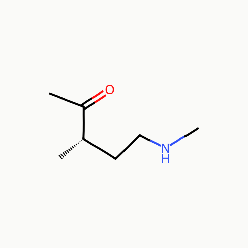 CNCC[C@H](C)C(C)=O